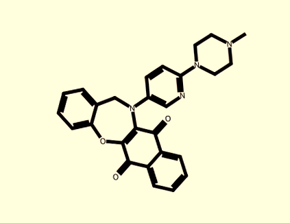 CN1CCN(c2ccc(N3Cc4ccccc4OC4=C3C(=O)c3ccccc3C4=O)cn2)CC1